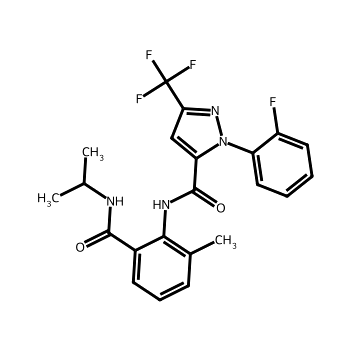 Cc1cccc(C(=O)NC(C)C)c1NC(=O)c1cc(C(F)(F)F)nn1-c1ccccc1F